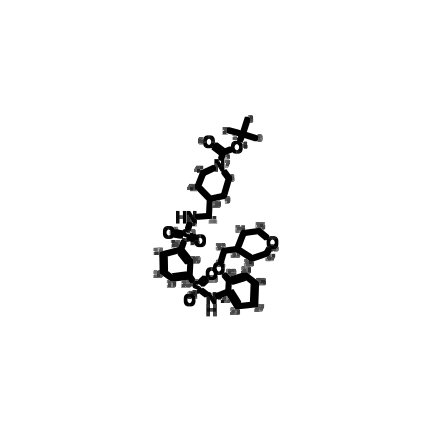 CC(C)(C)OC(=O)N1CCC(CNS(=O)(=O)c2cccc(S(=O)(=O)Nc3ccccc3OCC3CCOCC3)c2)CC1